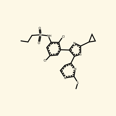 CCCS(=O)(=O)Nc1cc(Cl)cc(-c2nc(C3CC3)sc2-c2ccnc(SC)n2)c1Cl